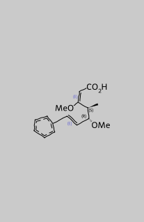 CO/C(=C/C(=O)O)[C@@H](C)[C@@H](/C=C/c1ccccc1)OC